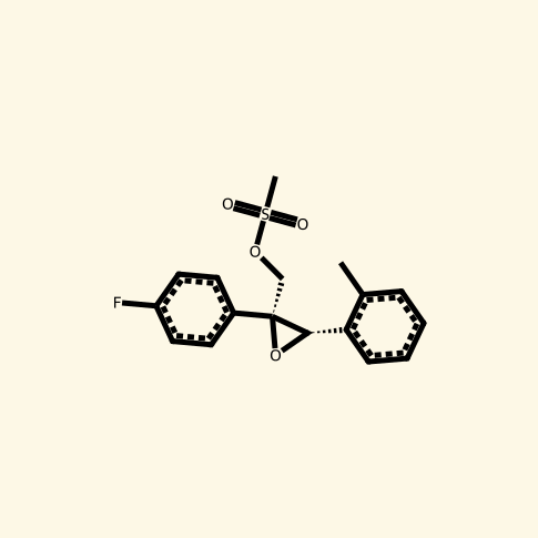 Cc1ccccc1[C@@H]1O[C@@]1(COS(C)(=O)=O)c1ccc(F)cc1